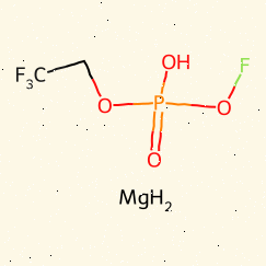 O=P(O)(OF)OCC(F)(F)F.[MgH2]